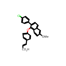 COc1ccc2c(Oc3ccc(C=CC(=O)O)cc3)c(-c3ccc(Cl)cc3)ccc2c1